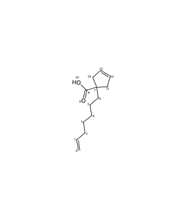 C=CCCCCCC1(C(=O)O)CC=CC1